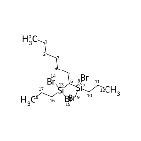 CCCCCCC([Si](Br)(Br)CCC)[Si](Br)(Br)CCC